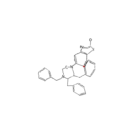 [O]c1nc2cc(N3CCN(Cc4ccccc4)C(Cc4ccccc4)C3Cc3ccccc3)ccc2s1